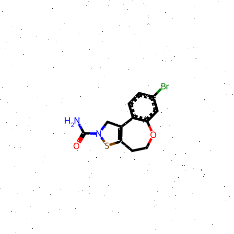 NC(=O)N1CC2=C(CCOc3cc(Br)ccc32)S1